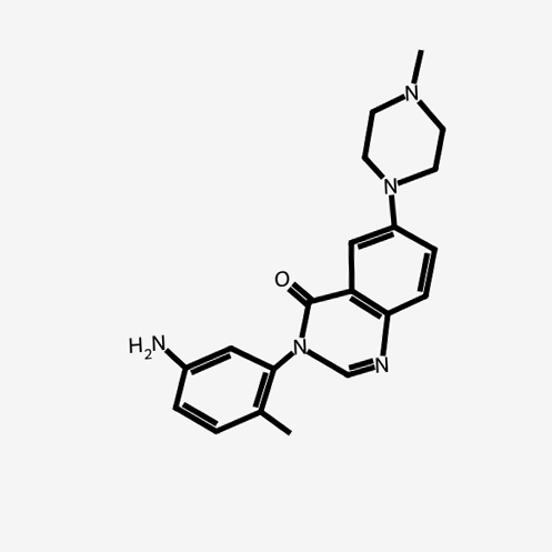 Cc1ccc(N)cc1-n1cnc2ccc(N3CCN(C)CC3)cc2c1=O